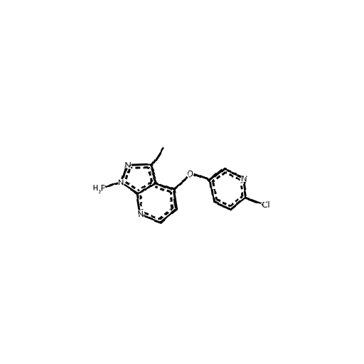 Cc1nn(P)c2nccc(Oc3ccc(Cl)nc3)c12